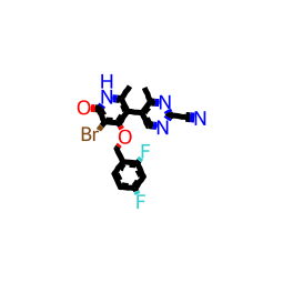 Cc1nc(C#N)ncc1-c1c(C)[nH]c(=O)c(Br)c1OCc1ccc(F)cc1F